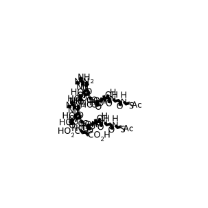 CC(=O)SCCNC(=O)CCNC(=O)C(O)C(C)(C)COP(=O)(O)OP(=O)(O)OC[C@H]1O[C@@H](n2cnc3c(N)ncnc32)[C@H](O)[C@@H]1OP(=O)(O)O.CC(=O)SCCNC(=O)CCNC(=O)C(O)C(C)(C)COP(=O)(O)OP(=O)(O)OC[C@H]1O[C@@H](n2cnc3c(N)ncnc32)[C@H](O)[C@@H]1OP(=O)(O)O.O=C(O)CCCCC(=O)O